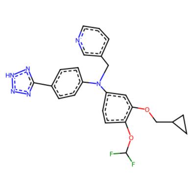 FC(F)Oc1ccc(N(Cc2cccnc2)c2ccc(-c3nn[nH]n3)cc2)cc1OCC1CC1